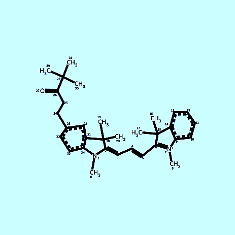 CN1/C(=C/C=C/C2=[N+](C)c3ccccc3C2(C)C)C(C)(C)c2cc(CCC(=O)C(C)(C)C)ccc21